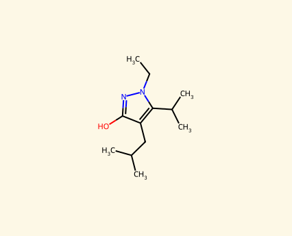 CCn1nc(O)c(CC(C)C)c1C(C)C